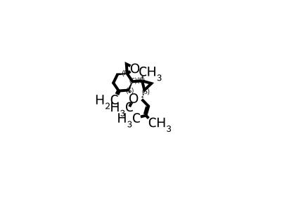 C=C1CC[C@]2(CO2)[C@@H]([C@@]2(C)C[C@@H]2CC=C(C)C)[C@@H]1OC